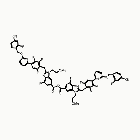 COCCn1c(Cc2c(F)cc(-c3cccc(OCc4ccc(C#N)cc4F)n3)c(F)c2F)nc2c(F)cc(C(=O)OC(=O)c3cc(F)c4nc(Cc5c(F)cc(-c6cccc(OCc7ccc(C#N)cc7F)n6)c(F)c5F)n(CCOC)c4c3)cc21